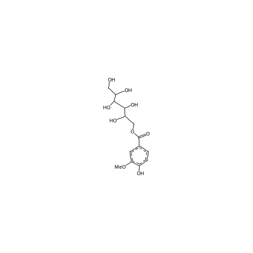 COc1cc(C(=O)OCC(O)C(O)C(O)C(O)CO)ccc1O